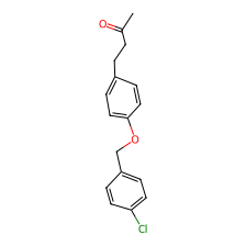 CC(=O)CCc1ccc(OCc2ccc(Cl)cc2)cc1